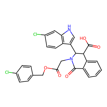 O=C(CN1C(=O)c2ccccc2C(C(=O)O)C1c1c[nH]c2cc(Cl)ccc12)OCc1ccc(Cl)cc1